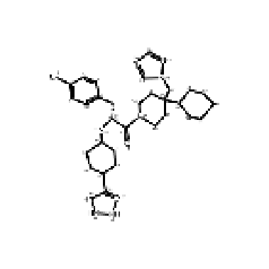 O=C([C@@H](Cc1ccc(Cl)cc1)NC1CCC(C2=NNNN2)CC1)N1CCC(Cn2cncn2)(C2CCCCC2)CC1